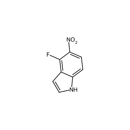 O=[N+]([O-])c1ccc2[nH]ccc2c1F